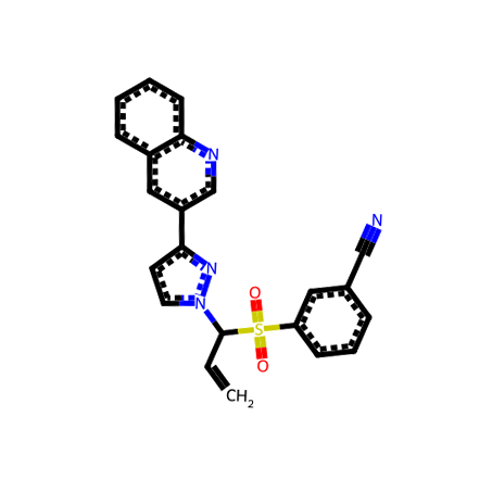 C=CC(n1ccc(-c2cnc3ccccc3c2)n1)S(=O)(=O)c1cccc(C#N)c1